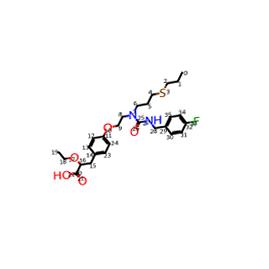 CCCSCCCN(CCOc1ccc(CC(OCC)C(=O)O)cc1)C(=O)NCc1ccc(F)cc1